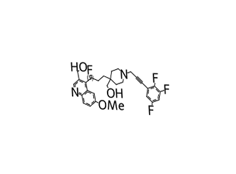 COc1ccc2ncc(CO)c([C@@H](F)CCC3(CO)CCN(CC#Cc4cc(F)cc(F)c4F)CC3)c2c1